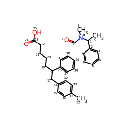 CC(c1ccccc1)N(C)C=O.Cc1ccc(CC(CCCCC(=O)O)c2ccccc2)cc1